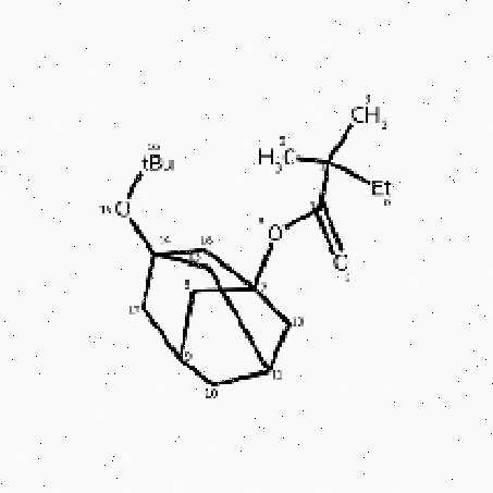 CCC(C)(C)C(=O)OC12CC3CC(C1)CC(OC(C)(C)C)(C3)C2